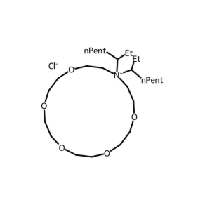 CCCCCC(CC)[N+]1(C(CC)CCCCC)CCOCCOCCOCCOCCOCC1.[Cl-]